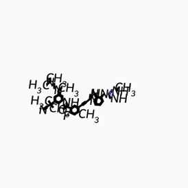 CN/C=C(\C=N)Nc1cccn2c(C#Cc3cc(C(=O)Nc4cc(N(C)CCN(C)C)cc(C(C)(C)C#N)c4)c(F)cc3C)cnc12